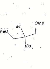 COCC(COC)(C(C)C)C(C)(C)C